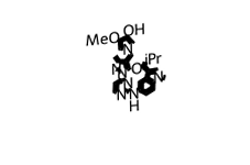 CO[C@@H]1CN(Cc2cn(-c3ccnc(Nc4ccc5c(c4)c(C(=O)C(C)C)cn5C)n3)nc2C)C[C@@H]1O